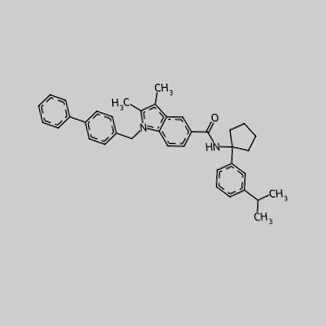 Cc1c(C)n(Cc2ccc(-c3ccccc3)cc2)c2ccc(C(=O)NC3(c4cccc(C(C)C)c4)CCCC3)cc12